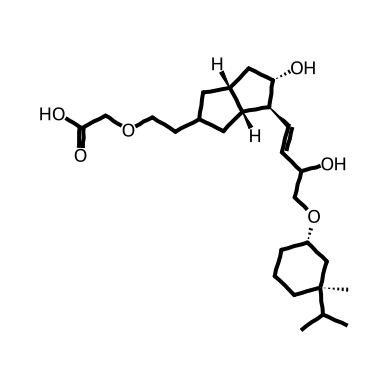 CC(C)[C@@]1(C)CCC[C@H](OCC(O)C=C[C@H]2[C@@H]3CC(CCOCC(=O)O)C[C@@H]3C[C@@H]2O)C1